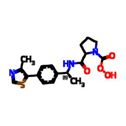 Cc1ncsc1-c1ccc([C@H](C)NC(=O)C2CCCN2C(=O)OO)cc1